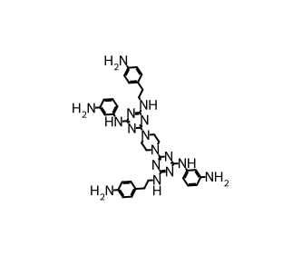 Nc1ccc(CCNc2nc(Nc3cccc(N)c3)nc(N3CCN(c4nc(NCCc5ccc(N)cc5)nc(Nc5cccc(N)c5)n4)CC3)n2)cc1